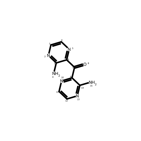 Nc1nccnc1C(=O)c1nccnc1N